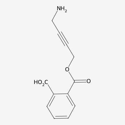 NCC#CCOC(=O)c1ccccc1C(=O)O